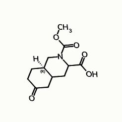 COC(=O)N1C[C@@H]2CCC(=O)CC2CC1C(=O)O